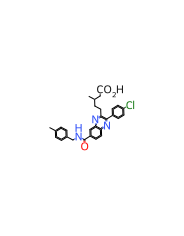 Cc1ccc(CNC(=O)c2ccc3nc(-c4ccc(Cl)cc4)c(CCC(C)CC(=O)O)nc3c2)cc1